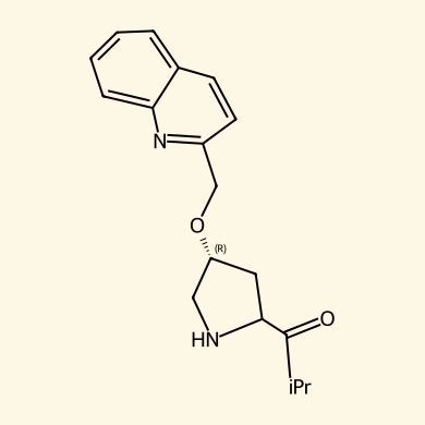 CC(C)C(=O)C1C[C@@H](OCc2ccc3ccccc3n2)CN1